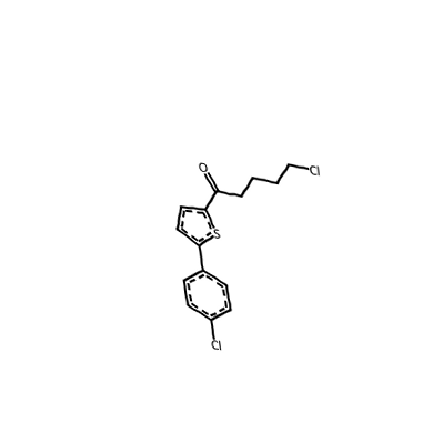 O=C(CCCCCl)c1ccc(-c2ccc(Cl)cc2)s1